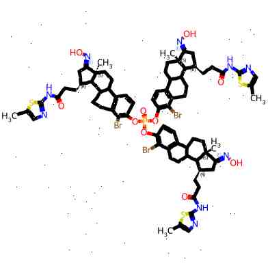 Cc1cnc(NC(=O)CC[C@@H]2C/C(=N\O)[C@@]3(C)CCC4c5ccc(OP(=O)(Oc6ccc7c(c6Br)CCC6C7CC[C@]7(C)/C(=N/O)C[C@@H](CCC(=O)Nc8ncc(C)s8)C67)Oc6ccc7c(c6Br)CCC6C7CC[C@]7(C)/C(=N/O)C[C@@H](CCC(=O)Nc8ncc(C)s8)C67)c(Br)c5CCC4C23)s1